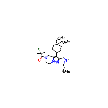 CNCCN(C)Cc1nn2c(c1C1CCC(COC)(COC)CC1)CN(C(=O)C(C)(C)F)CC2